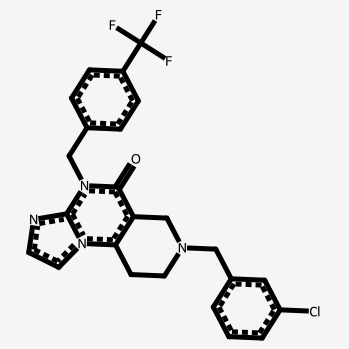 O=c1c2c(n3ccnc3n1Cc1ccc(C(F)(F)F)cc1)CCN(Cc1cccc(Cl)c1)C2